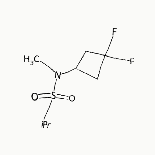 CC(C)S(=O)(=O)N(C)C1CC(F)(F)C1